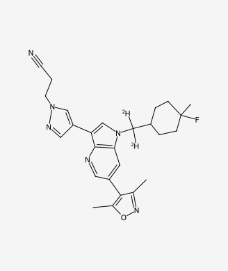 [2H]C([2H])(C1CCC(C)(F)CC1)n1cc(-c2cnn(CCC#N)c2)c2ncc(-c3c(C)noc3C)cc21